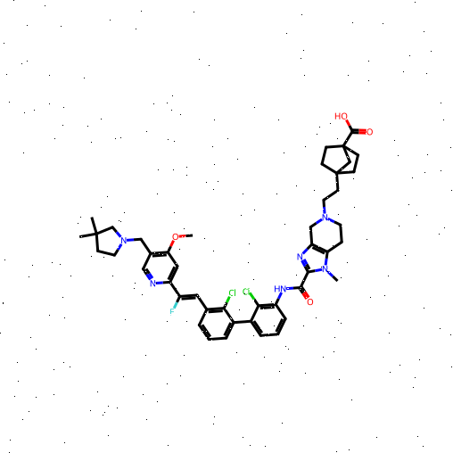 COc1cc(/C(F)=C/c2cccc(-c3cccc(NC(=O)c4nc5c(n4C)CCN(CCC46CCC(C(=O)O)(CC4)C6)C5)c3Cl)c2Cl)ncc1CN1CCC(C)(C)C1